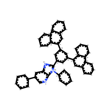 c1ccc(-c2cnc3c(c2)nc(-c2cc(-c4cc5ccccc5c5ccccc45)cc(-c4cc5ccccc5c5ccccc45)c2)n3-c2ccccc2)cc1